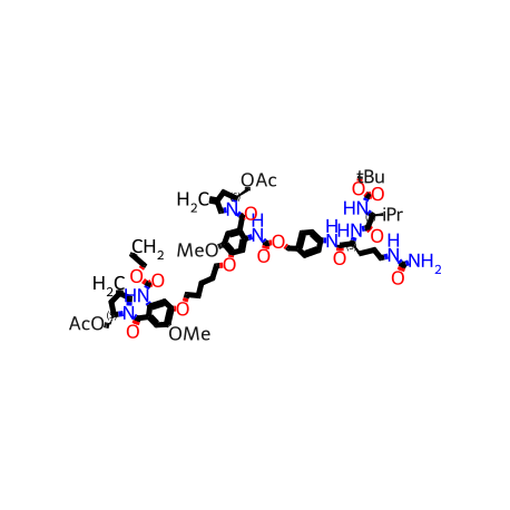 C=CCOC(=O)Nc1cc(OCCCCCOc2cc(NC(=O)OCc3ccc(NC(=O)[C@H](CCCNC(N)=O)NC(=O)[C@@H](NC(=O)OC(C)(C)C)C(C)C)cc3)c(C(=O)N3CC(=C)C[C@H]3COC(C)=O)cc2OC)c(OC)cc1C(=O)N1CC(=C)C[C@H]1COC(C)=O